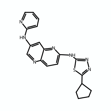 c1ccc(Nc2cnc3ccc(Nc4nnc(C5CCCC5)s4)nc3c2)nc1